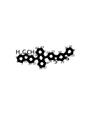 CC1(C)c2ccccc2-c2ccc(-c3c4ccccc4c(-c4ccc5c(c4)sc4cc6sc7ccccc7c6cc45)c4ccccc34)cc21